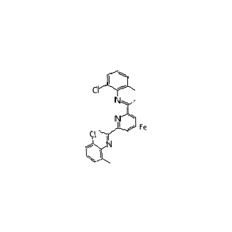 CC(=Nc1c(C)cccc1Cl)c1cccc(C(C)=Nc2c(C)cccc2Cl)n1.[Fe]